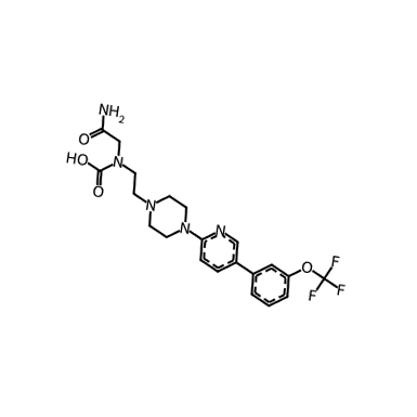 NC(=O)CN(CCN1CCN(c2ccc(-c3cccc(OC(F)(F)F)c3)cn2)CC1)C(=O)O